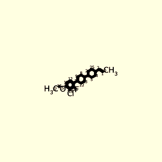 C/C=C/C1CCC(C2CC=C(c3ccc(OCC)c(Cl)c3F)CC2)CC1